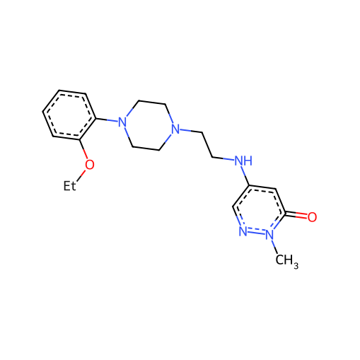 CCOc1ccccc1N1CCN(CCNc2cnn(C)c(=O)c2)CC1